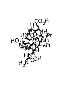 CC(C)C[C@H](NC(=O)[C@H](C)NC(=O)[C@H](CCC(=O)O)NC(=O)[C@@H](NC(=O)[C@H](CC(C)C)NC(=O)[C@H](Cc1cnc[nH]1)NC(=O)[C@H](CO)NC(=O)CN)C(C)C)C(=O)O